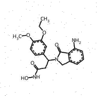 CCOc1cc(C(CC(=O)NO)N2Cc3cccc(N)c3C2=O)ccc1OC